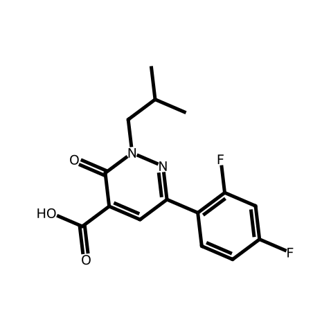 CC(C)Cn1nc(-c2ccc(F)cc2F)cc(C(=O)O)c1=O